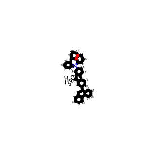 CC1(C)c2cc(-c3cc4ccccc4c4ccccc34)ccc2-c2ccc(N(c3ccccc3)c3ccccc3-c3ccccc3)cc21